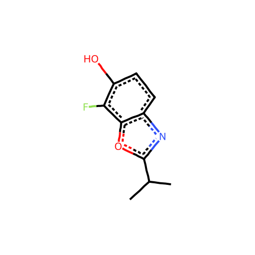 CC(C)c1nc2ccc(O)c(F)c2o1